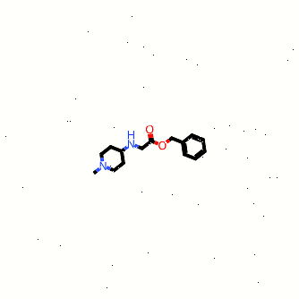 CN1CCC(NCC(=O)OCc2ccccc2)CC1